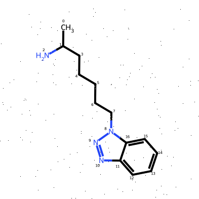 CC(N)CCCCCn1nnc2ccccc21